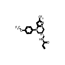 C=CC(=O)NC[C@@H]1CN(c2ccc(OC(F)(F)F)cc2)c2cc(C(F)(F)F)nn2C1